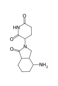 NC1CCCC2C(=O)N(C3CCC(=O)NC3=O)CC12